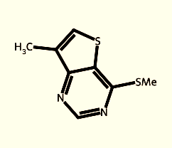 CSc1ncnc2c(C)csc12